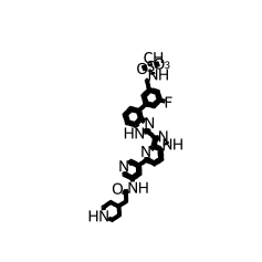 CS(=O)(=O)NCc1cc(F)cc(-c2cccc3[nH]c(-c4n[nH]c5ccc(-c6cncc(NC(=O)CC7CCNCC7)c6)nc45)nc23)c1